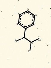 C[C](c1ccccc1)C(C)C